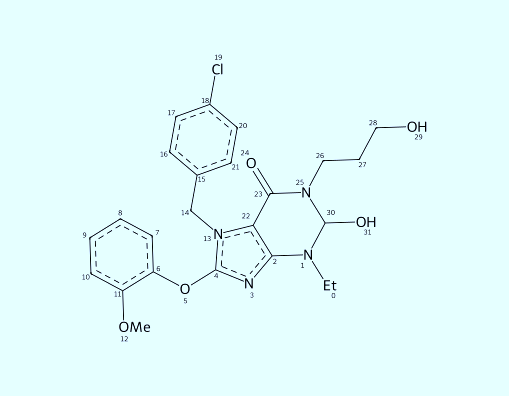 CCN1c2nc(Oc3ccccc3OC)n(Cc3ccc(Cl)cc3)c2C(=O)N(CCCO)C1O